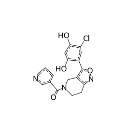 O=C(c1cccnc1)N1CCc2noc(-c3cc(Cl)c(O)cc3O)c2C1